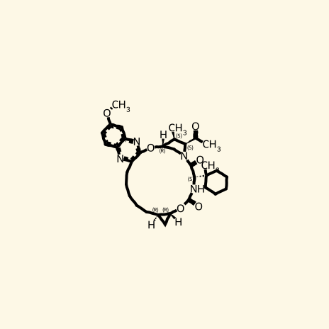 COc1ccc2nc3c(nc2c1)O[C@H]1CN(C(=O)[C@H](C2(C)CCCCC2)NC(=O)O[C@@H]2C[C@H]2CCCCC3)[C@H](C(C)=O)[C@@H]1C